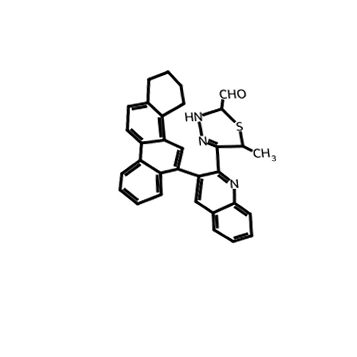 CC1SC(C=O)NN=C1c1nc2ccccc2cc1-c1cc2c3c(ccc2c2ccccc12)CCCC3